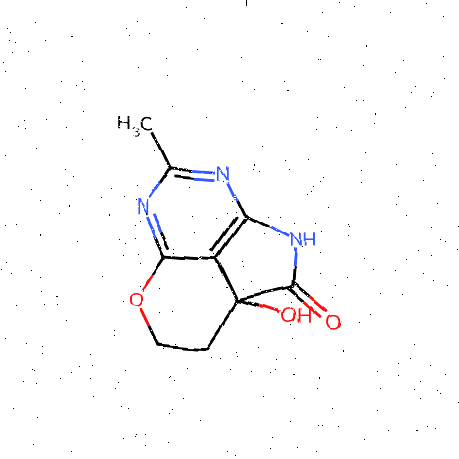 Cc1nc2c3c(n1)OCCC3(O)C(=O)N2